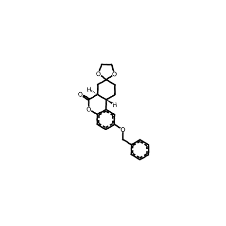 O=C1Oc2ccc(OCc3ccccc3)cc2[C@H]2CCC3(C[C@H]12)OCCO3